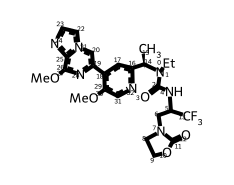 CCN(C(=O)NC(CN1CCOC1=O)C(F)(F)F)[C@H](C)c1cc(-c2cn3ccnc3c(OC)n2)c(OC)cn1